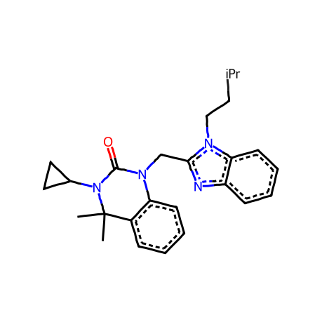 CC(C)CCn1c(CN2C(=O)N(C3CC3)C(C)(C)c3ccccc32)nc2ccccc21